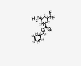 NC1CC(C(F)F)CN(C(=O)OCc2ccccc2)C1